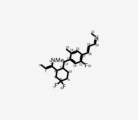 C/C=C(\NC)C1CC(F)(F)CCC1Cc1cc(F)c(/C=C/C=N\C)cc1C